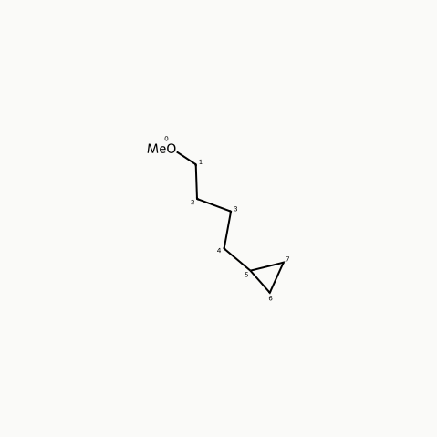 COCCCCC1CC1